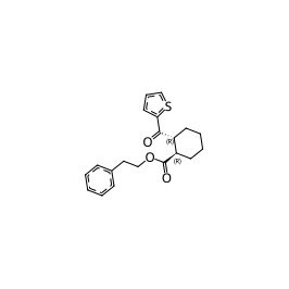 O=C(OCCc1ccccc1)[C@@H]1CCCC[C@H]1C(=O)c1cccs1